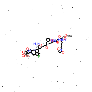 CC[C@@]1(O)C(=O)OCc2c1cc1n(c2=O)CC2/C=C3/CC(C(CCCCC(=O)[C@@H](CCCC(=O)CNC(=O)CNC(=O)[C@H](CC(=O)OC(C)(C)C)NC(=O)CCCCCN4C(=O)CCC4=O)Cc4ccccc4)CC(N)=O)Cc4c(C)c(F)cc(c43)C(C)/C=C/12